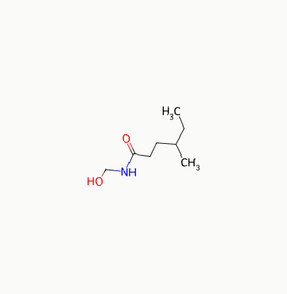 CCC(C)CCC(=O)NCO